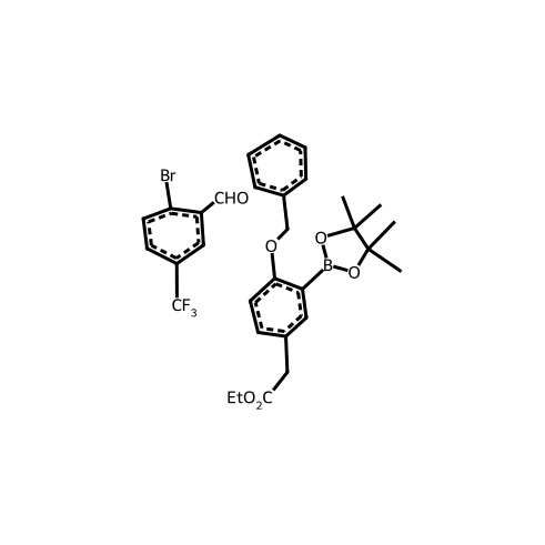 CCOC(=O)Cc1ccc(OCc2ccccc2)c(B2OC(C)(C)C(C)(C)O2)c1.O=Cc1cc(C(F)(F)F)ccc1Br